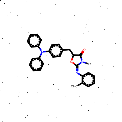 CCN1C(=O)C(Cc2ccc(N(c3ccccc3)c3ccccc3)cc2)O/C1=N/c1ccccc1C=O